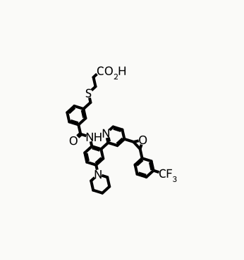 O=C(O)CCSCc1cccc(C(=O)Nc2ccc(N3CCCCC3)cc2-c2cc(C3OC3c3cccc(C(F)(F)F)c3)ccn2)c1